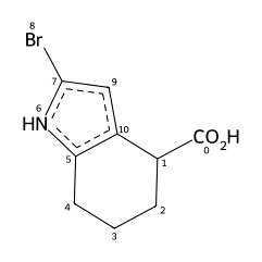 O=C(O)C1CCCc2[nH]c(Br)cc21